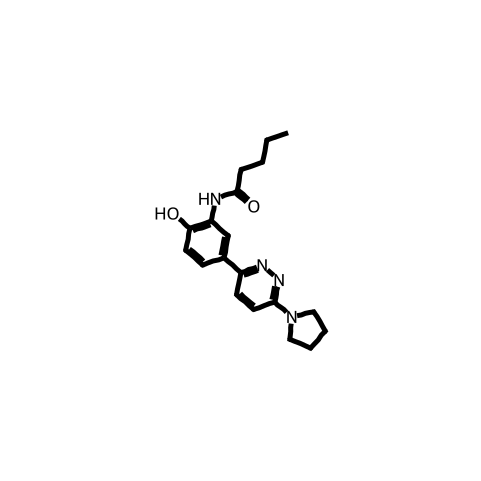 CCCCC(=O)Nc1cc(-c2ccc(N3CCCC3)nn2)ccc1O